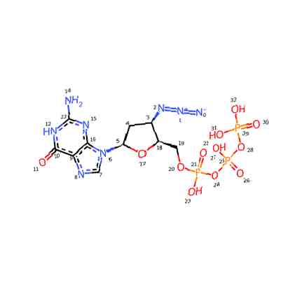 [N-]=[N+]=N[C@@H]1C[C@H](n2cnc3c(=O)[nH]c(N)nc32)O[C@@H]1COP(=O)(O)OP(=O)(O)OP(=O)(O)O